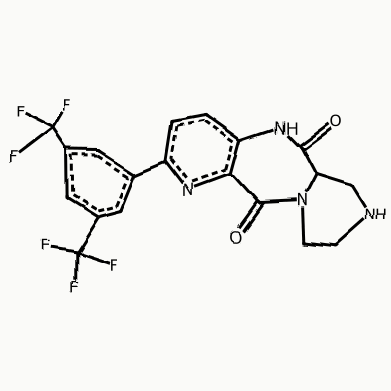 O=C1Nc2ccc(-c3cc(C(F)(F)F)cc(C(F)(F)F)c3)nc2C(=O)N2CCNCC12